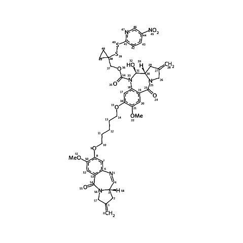 C=C1C[C@H]2C=Nc3cc(OCCCCCOc4cc5c(cc4OC)C(=O)N4CC(=C)C[C@H]4[C@H](O)N5C(=O)OCC4(SSc5ccc([N+](=O)[O-])cn5)CC4)c(OC)cc3C(=O)N2C1